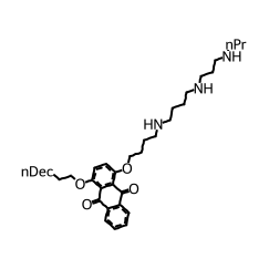 CCCCCCCCCCCCOc1ccc(OCCCCNCCCCNCCCNCCC)c2c1C(=O)c1ccccc1C2=O